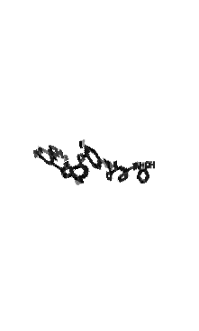 CN1C=NCC1c1cc2nccc(Oc3ccc(NC(=O)CC(=O)Nc4ccccc4O)cc3F)c2s1